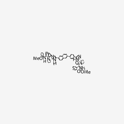 COC(=O)NC(C(=O)N1CCC[C@H]1c1ncc(-c2ccc3cc(-c4ccc(-c5cnc([C@@H]6CCCN6C(=O)[C@@H](NC(=O)OC)c6ccsc6)[nH]5)cc4)ccc3c2)[nH]1)C(C)C